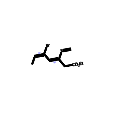 C=N/C(=C\C(Br)=C/C)CC(=O)OCC